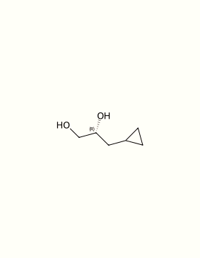 OC[C@H](O)CC1CC1